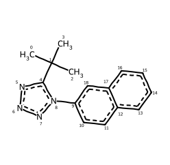 CC(C)(C)c1nnnn1-c1ccc2ccccc2c1